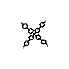 Ic1ccc(-c2ccc(C(c3ccc(-c4ccc(I)cc4)cc3)(c3ccc(-c4ccc(I)cc4)cc3)c3ccc(-c4ccc(I)cc4)cc3)cc2)cc1